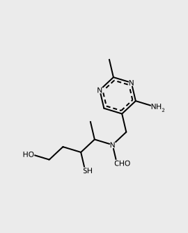 Cc1ncc(CN(C=O)C(C)C(S)CCO)c(N)n1